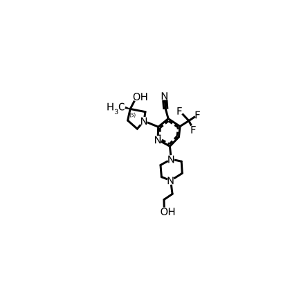 C[C@]1(O)CCN(c2nc(N3CCN(CCO)CC3)cc(C(F)(F)F)c2C#N)C1